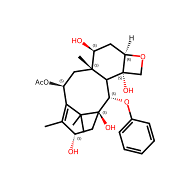 CC(=O)O[C@H]1C[C@@]2(C)C([C@H](Oc3ccccc3)[C@]3(O)C[C@H](O)C(C)=C1C3(C)C)[C@]1(O)CO[C@@H]1C[C@@H]2O